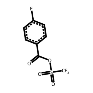 O=C(OS(=O)(=O)C(F)(F)F)c1ccc(F)cc1